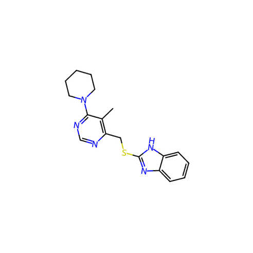 Cc1c(CSc2nc3ccccc3[nH]2)ncnc1N1CCCCC1